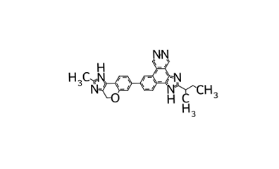 CCC(C)c1nc2c3cnncc3c3cc(-c4ccc5c(c4)OCc4nc(C)[nH]c4-5)ccc3c2[nH]1